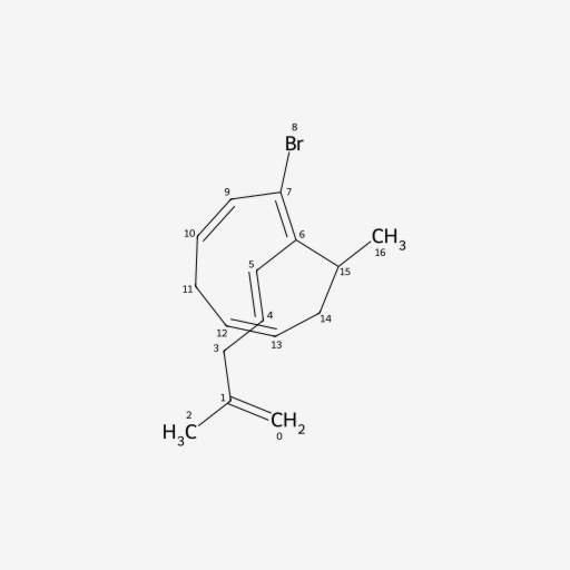 C=C(C)C/C=C/C1=C(Br)\C=C/C/C=C\CC1C